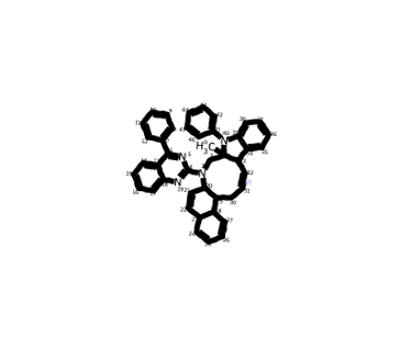 CC12CN(c3nc(-c4ccccc4)c4ccccc4n3)C3C=CC4C=CC=CC4C3C/C=C\C1c1ccccc1N2c1ccccc1